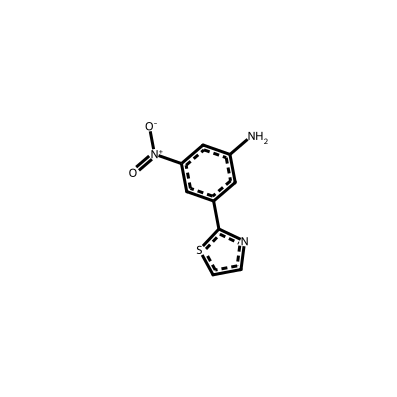 Nc1cc(-c2nccs2)cc([N+](=O)[O-])c1